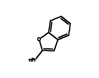 CC[CH]c1cc2ccccc2o1